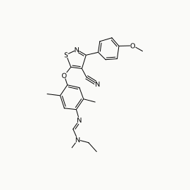 CCN(C)C=Nc1cc(C)c(Oc2snc(-c3ccc(OC)cc3)c2C#N)cc1C